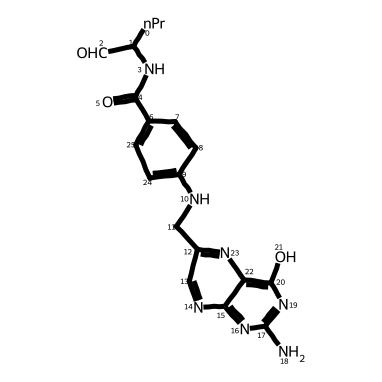 CCCC(C=O)NC(=O)c1ccc(NCc2cnc3nc(N)nc(O)c3n2)cc1